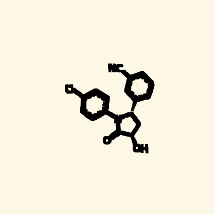 N#Cc1cccc([C@@H]2C[C@@H](O)C(=O)N2c2ccc(Cl)cc2)c1